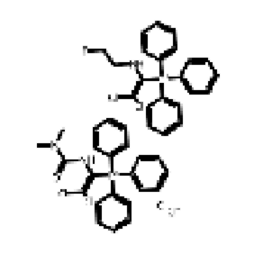 CN(C)C(=O)NC(=C(Cl)Cl)[P+](c1ccccc1)(c1ccccc1)c1ccccc1.FCCNC(=C(Cl)Cl)[P+](c1ccccc1)(c1ccccc1)c1ccccc1.[Cl-].[Cl-]